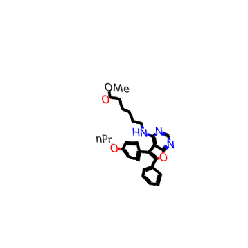 CCCOc1ccc(-c2c(-c3ccccc3)oc3ncnc(NCCCCCC(=O)OC)c23)cc1